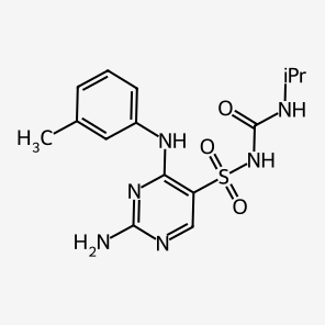 Cc1cccc(Nc2nc(N)ncc2S(=O)(=O)NC(=O)NC(C)C)c1